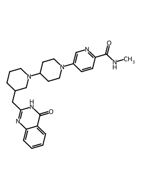 CNC(=O)c1ccc(N2CCC(N3CCCC(Cc4nc5ccccc5c(=O)[nH]4)C3)CC2)cn1